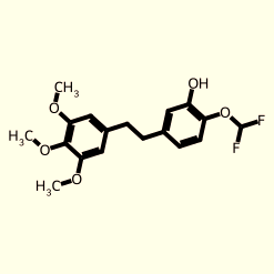 COc1cc(CCc2ccc(OC(F)F)c(O)c2)cc(OC)c1OC